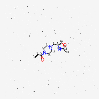 C=CC(=O)N1CCN(Cc2coc(C)n2)CC1